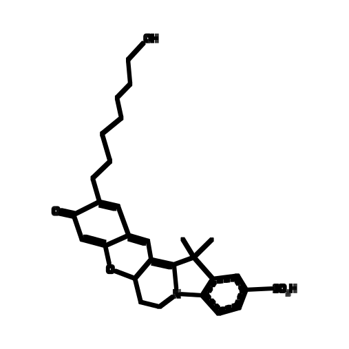 CC1(C)C2=C3C=C4C=C(CCCCCCCO)C(=O)C=C4OC3CCN2c2ccc(S(=O)(=O)O)cc21